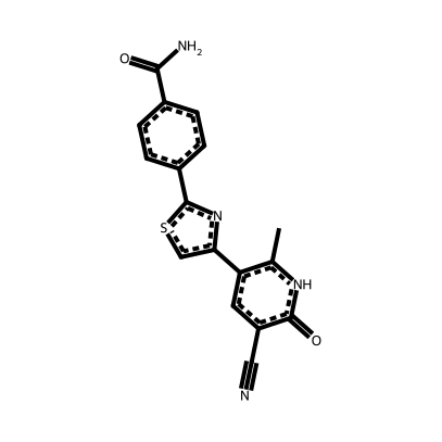 Cc1[nH]c(=O)c(C#N)cc1-c1csc(-c2ccc(C(N)=O)cc2)n1